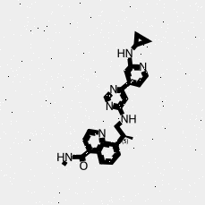 CNC(=O)c1ccnc2c([C@H](C)CNc3cc(-c4ccnc(NC5CC5)c4)ncn3)cccc12